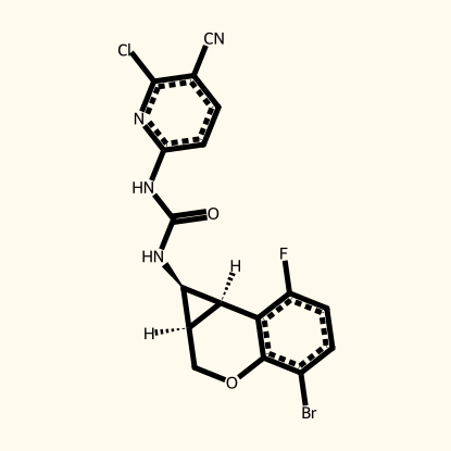 N#Cc1ccc(NC(=O)N[C@@H]2[C@@H]3COc4c(Br)ccc(F)c4[C@@H]32)nc1Cl